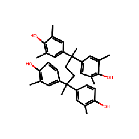 Cc1cc(C(C)(CCC(C)(c2cc(C)c(O)c(C)c2)c2cc(C)c(O)c(C)c2)c2ccc(O)c(C)c2)ccc1O